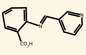 O=C(O)c1ccccc1N=Cc1cccnc1